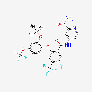 [2H]C([2H])([2H])Oc1cc(OC(F)(F)F)ccc1Oc1cc(C(F)(F)F)c(F)cc1C(=O)Nc1ccnc(C(N)=O)c1